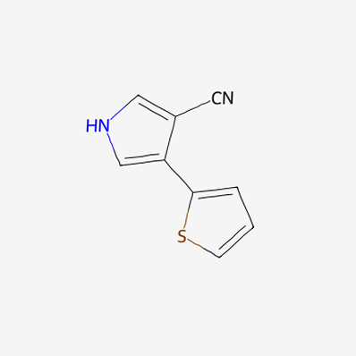 N#Cc1c[nH]cc1-c1cccs1